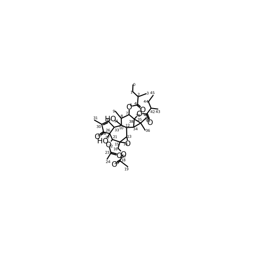 CCC(C)C(=O)OC1C(C)C2(O)C(C3OC3(COC(C)=O)C(OC(C)=O)C3(O)C(=O)C(C)=CC32)C2C(C)(C)C12OC(=O)C(C)CC